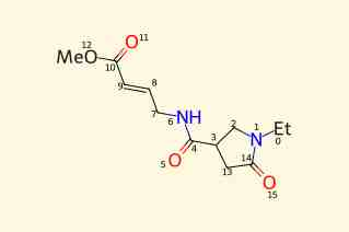 CCN1CC(C(=O)NC/C=C/C(=O)OC)CC1=O